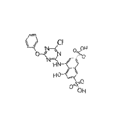 O=S(=O)(O)c1cc(O)c2c(Nc3nc(Cl)nc(Oc4ccccc4)n3)cc(S(=O)(=O)O)cc2c1